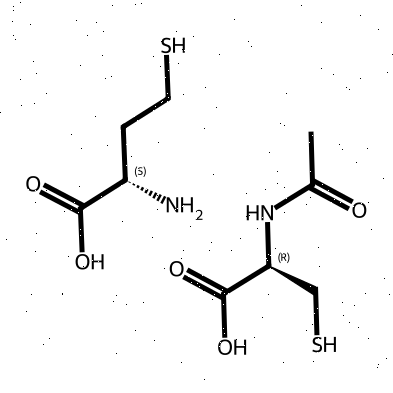 CC(=O)N[C@@H](CS)C(=O)O.N[C@@H](CCS)C(=O)O